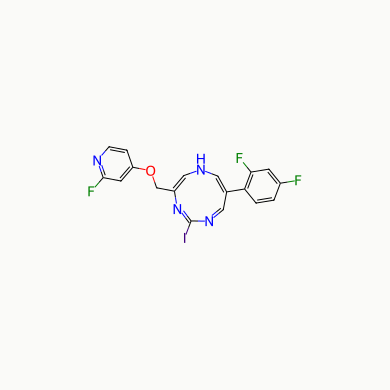 Fc1ccc(-c2cnc(I)nc(COc3ccnc(F)c3)c[nH]c2)c(F)c1